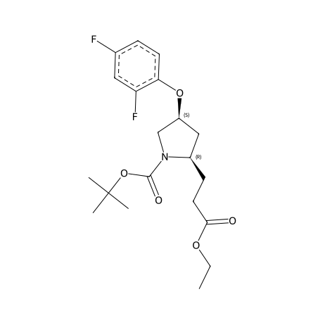 CCOC(=O)CC[C@@H]1C[C@H](Oc2ccc(F)cc2F)CN1C(=O)OC(C)(C)C